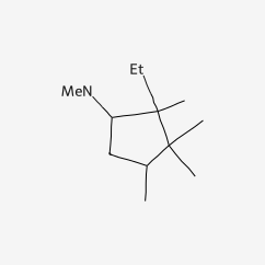 CCC1(C)C(NC)CC(C)C1(C)C